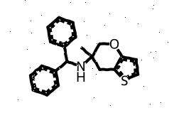 CC1(NC(c2ccccc2)c2ccccc2)COc2ccsc2C1